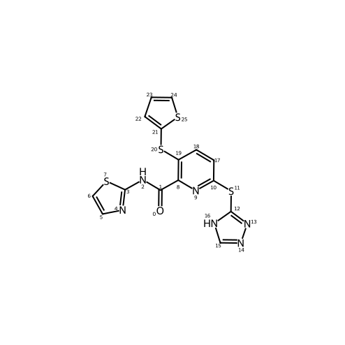 O=C(Nc1nccs1)c1nc(Sc2nnc[nH]2)ccc1Sc1cccs1